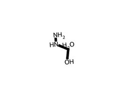 NNCO.O